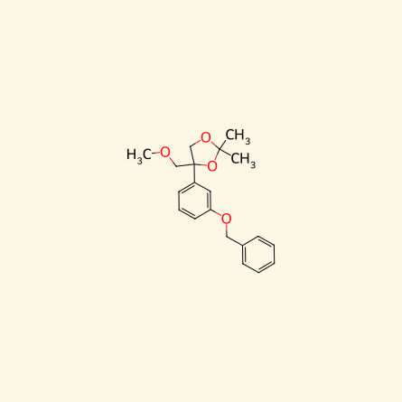 COCC1(c2cccc(OCc3ccccc3)c2)COC(C)(C)O1